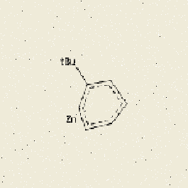 CC(C)(C)c1ccccc1.[Zn]